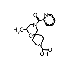 CC1CN(C(=O)c2ccccn2)CC2(CCN(C(=O)O)CC2)O1